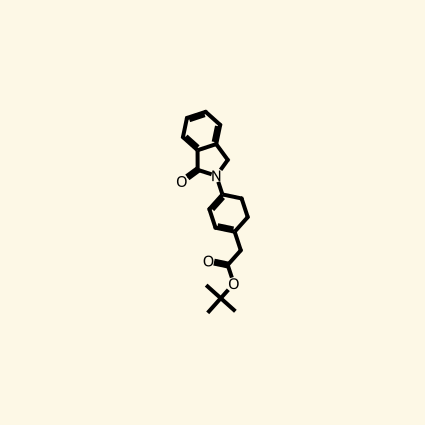 CC(C)(C)OC(=O)CC1=CC=C(N2Cc3ccccc3C2=O)CC1